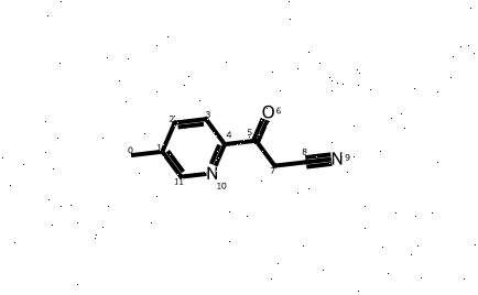 Cc1ccc(C(=O)CC#N)nc1